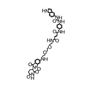 O=C(/C=C/C(=O)Nc1ccc(NC(=O)Nc2ccc3[nH]ccc3c2)cc1)NCCOCCOCCNc1ccc2c(c1)C(=O)N(C1CCC(=O)NC1=O)C2=O